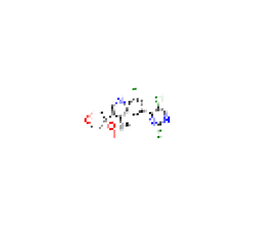 CC(C)c1c(C2(O)CCOCC2)cnc2c(F)cc(-c3nc(Cl)ncc3Cl)cc12